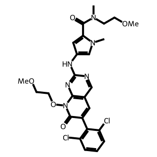 COCCOn1c(=O)c(-c2c(Cl)cccc2Cl)cc2cnc(Nc3cc(C(=O)N(C)CCOC)n(C)c3)nc21